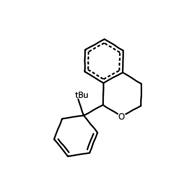 CC(C)(C)C1(C2OCCc3ccccc32)C=CC=CC1